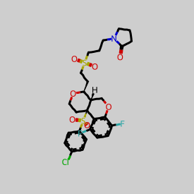 O=C1CCCN1CCCS(=O)(=O)CC[C@@H]1OCC[C@@]2(S(=O)(=O)c3ccc(Cl)cc3)c3c(F)ccc(F)c3OC[C@@H]12